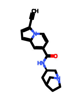 C#Cc1ccc2cc(C(=O)N[C@@H]3CC4CCN(C4)C3)ccn12